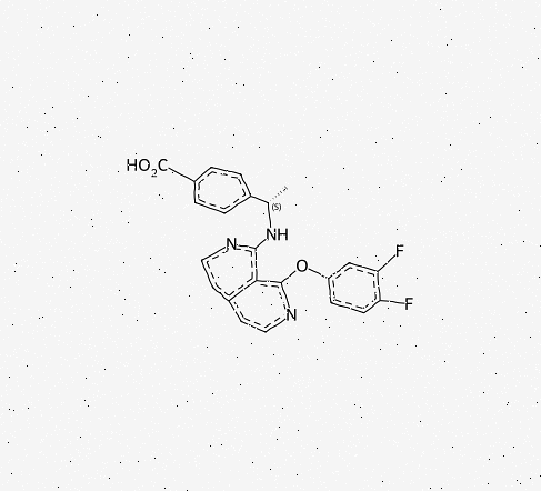 C[C@H](Nc1nccc2ccnc(Oc3ccc(F)c(F)c3)c12)c1ccc(C(=O)O)cc1